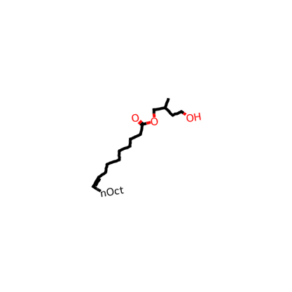 CCCCCCCC/C=C\CCCCCCCC(=O)OCC(C)CCO